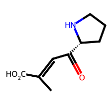 CC(=CC(=O)[C@H]1CCCN1)C(=O)O